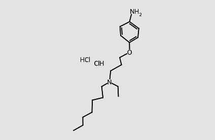 CCCCCCCN(CC)CCCOc1ccc(N)cc1.Cl.Cl